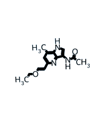 CCO/C=C/c1cc(C)c2[nH]cc(NC(C)=O)c2n1